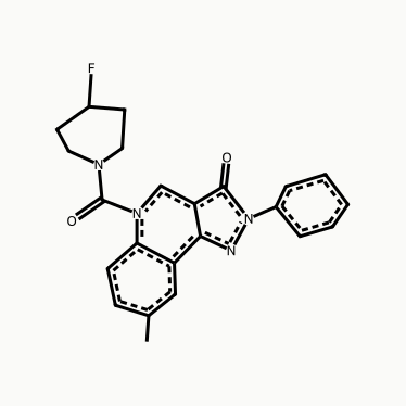 Cc1ccc2c(c1)c1nn(-c3ccccc3)c(=O)c-1cn2C(=O)N1CCC(F)CC1